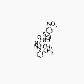 Cc1ccccc1-n1nnc(C(=O)Nc2nc3ccc([N+](=O)[O-])cc3s2)c1C